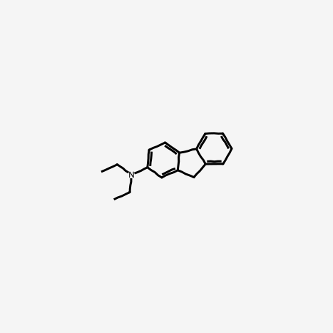 CCN(CC)c1ccc2c(c1)Cc1ccccc1-2